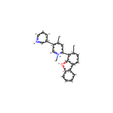 Cc1cc(-c2c(C)ccc3c2oc2ccccc23)[n+](C)cc1-c1cccnc1